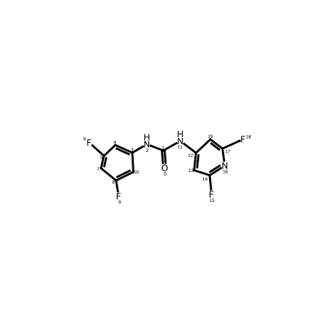 O=C(Nc1cc(F)cc(F)c1)Nc1cc(F)nc(F)c1